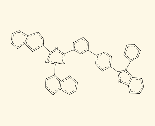 c1ccc(-n2c(-c3ccc(-c4cccc(-c5nc(-c6ccc7ccccc7c6)nc(-c6cccc7ccccc67)n5)c4)cc3)nc3ccccc32)cc1